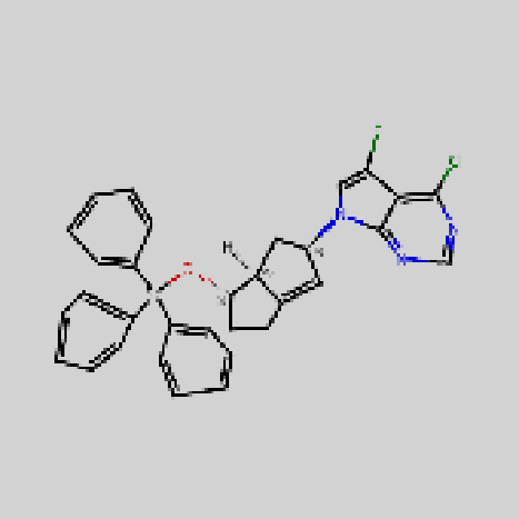 Fc1cn([C@H]2C=C3CC[C@H](O[Si](c4ccccc4)(c4ccccc4)c4ccccc4)[C@H]3C2)c2ncnc(Cl)c12